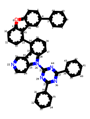 c1ccc(-c2ccc3oc4cccc(-c5cccc6c5c5cnccc5n6-c5nc(-c6ccccc6)nc(-c6ccccc6)n5)c4c3c2)cc1